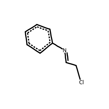 ClCC=Nc1ccccc1